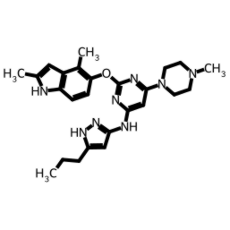 CCCc1cc(Nc2cc(N3CCN(C)CC3)nc(Oc3ccc4[nH]c(C)cc4c3C)n2)n[nH]1